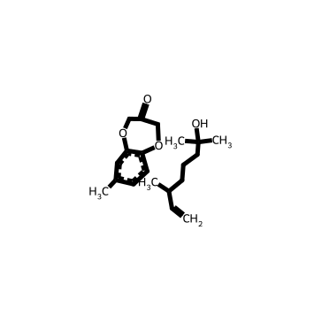 C=CC(C)CCCC(C)(C)O.Cc1ccc2c(c1)OCC(=O)CO2